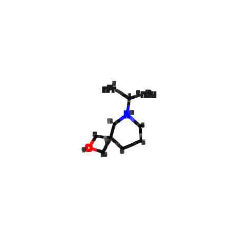 CCCCC(CCC)N1CCCC2(COC2)C1